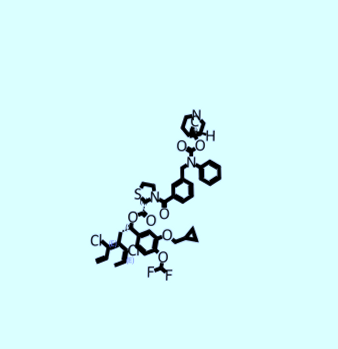 C=C/C(Cl)=C(C[C@H](OC(=O)[C@@H]1SCCN1C(=O)c1cccc(CN(C(=O)O[C@H]2CN3CCC2CC3)c2ccccc2)c1)c1ccc(OC(F)F)c(OCC2CC2)c1)\C(Cl)=C/C